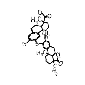 CC(C)c1cc2c(cc1Sc1cc3c(cc1C(C)C)CCC1C(C)(C(=O)Cl)CCCC31C)C1(C)CCCC(C)(C(=O)Cl)C1CC2